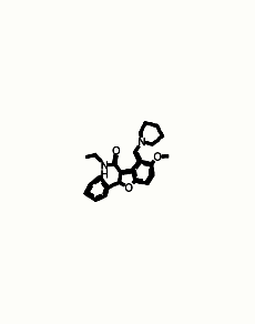 CCNC(=O)C1=c2c(ccc(OC)c2=CN2CCCCC2)OC1c1ccccc1